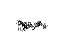 Cn1nc(C(=O)NNC(=O)C2CCN(C(=O)OCc3ccccc3)CC2)c2ccc(N3CCCCCC3)nc21